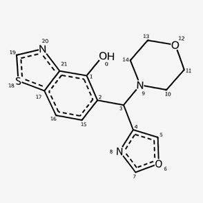 Oc1c(C(c2cocn2)N2CCOCC2)ccc2scnc12